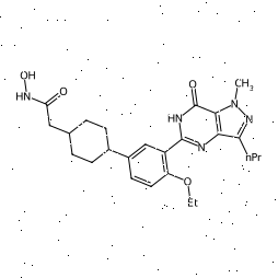 CCCc1nn(C)c2c(=O)[nH]c(-c3cc(C4CCC(CC(=O)NO)CC4)ccc3OCC)nc12